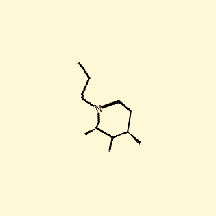 CCCN1CC[C@@H](C)C(C)[C@H]1C